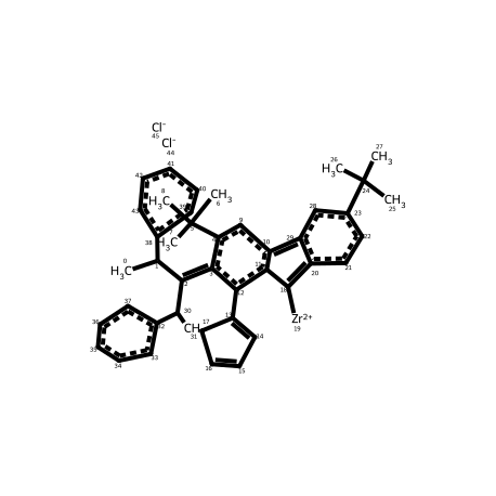 CC(C(=c1c(C(C)(C)C)cc2c(c1C1=CC=CC1)[C]([Zr+2])=c1ccc(C(C)(C)C)cc1=2)C(C)c1ccccc1)c1ccccc1.[Cl-].[Cl-]